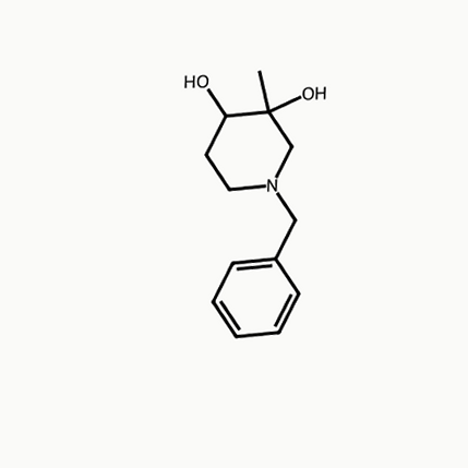 CC1(O)CN(Cc2ccccc2)CCC1O